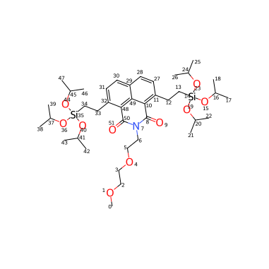 COCCOCCN1C(=O)c2c(CC[Si](OC(C)C)(OC(C)C)OC(C)C)ccc3ccc(CC[Si](OC(C)C)(OC(C)C)OC(C)C)c(c23)C1=O